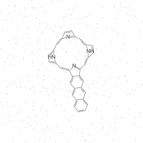 C1=Cc2cc3ccc(cc4nc(cc5ccc(cc1n2)[nH]5)-c1cc2cc5ccccc5cc2cc1-4)[nH]3